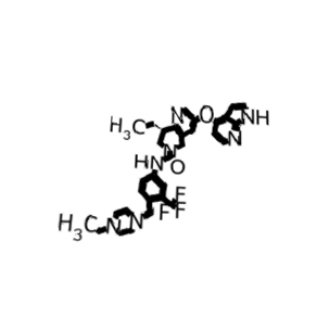 CC[C@H]1CN(C(=O)Nc2ccc(CN3CCN(CC)CC3)c(C(F)(F)F)c2)Cc2cc(Oc3ccnc4[nH]ccc34)cnc21